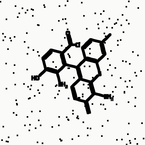 Bc1c(O)ccc(C(=O)Cl)c1C1=c2ccc(=C)c(B)c2Sc2cc(C)ccc21